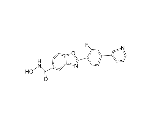 O=C(NO)c1ccc2oc(-c3ccc(-c4cccnc4)cc3F)nc2c1